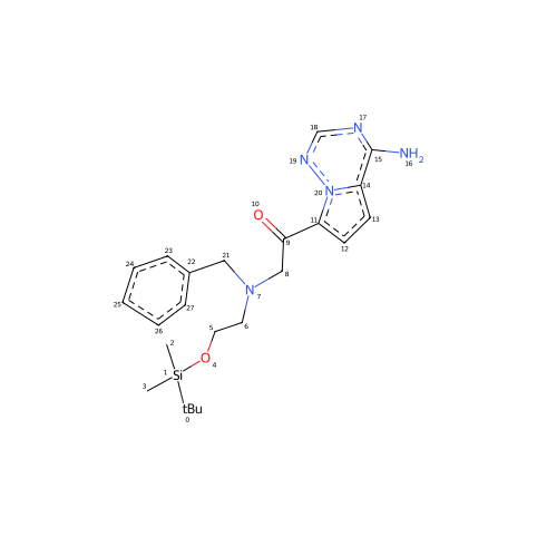 CC(C)(C)[Si](C)(C)OCCN(CC(=O)c1ccc2c(N)ncnn12)Cc1ccccc1